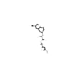 C#Cc1cnc2c(C)cc(CC(SC)C(=O)NC(C)(C)c3cc(CC)on3)cc2c1